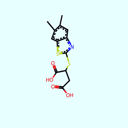 Cc1cc2nc(SC(CC(=O)O)C(=O)O)sc2cc1C